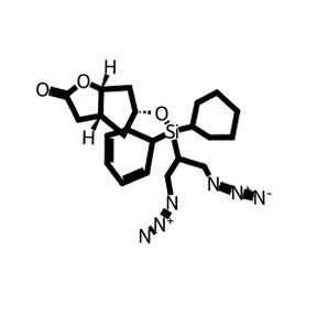 [N-]=[N+]=NCC(CN=[N+]=[N-])[Si](O[C@@H]1C[C@@H]2CC(=O)O[C@@H]2C1)(C1C=CC=CC1)C1CCCCC1